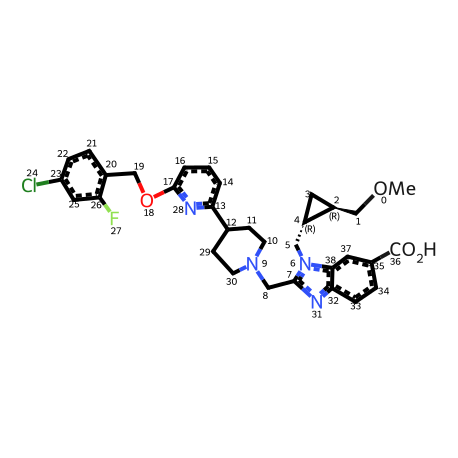 COC[C@@H]1C[C@H]1Cn1c(CN2CCC(c3cccc(OCc4ccc(Cl)cc4F)n3)CC2)nc2ccc(C(=O)O)cc21